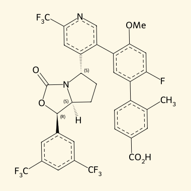 COc1cc(F)c(-c2ccc(C(=O)O)cc2C)cc1-c1cnc(C(F)(F)F)cc1[C@@H]1CC[C@H]2[C@@H](c3cc(C(F)(F)F)cc(C(F)(F)F)c3)OC(=O)N12